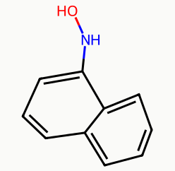 ONc1cccc2ccccc12